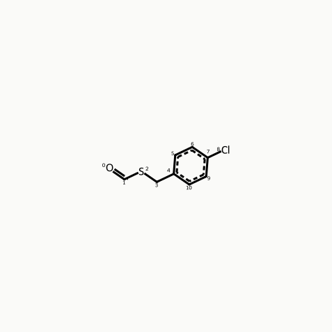 O=[C]SCc1ccc(Cl)cc1